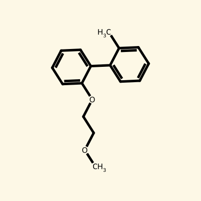 COCCOc1ccccc1-c1ccccc1C